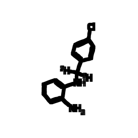 [2H]C([2H])(Nc1ccccc1N)c1ccc(Cl)cc1